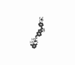 Cc1cccc(C)c1NC(=S)N/N=C/c1ccc2c(c1)CC1C(c3ccc(OC(F)(F)F)cc3)=NOC21